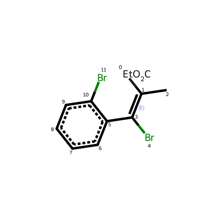 CCOC(=O)/C(C)=C(/Br)c1ccccc1Br